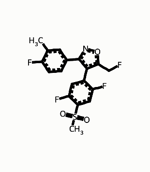 Cc1cc(-c2noc(CF)c2-c2cc(F)c(S(C)(=O)=O)cc2F)ccc1F